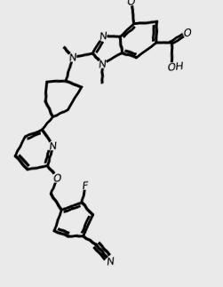 COc1cc(C(=O)O)cc2c1nc(N(C)C1CCC(c3cccc(OCc4ccc(C#N)cc4F)n3)CC1)n2C